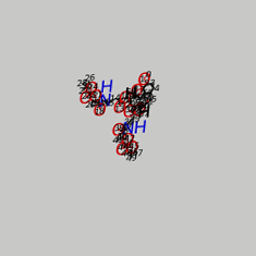 COc1ccc2c3c1O[C@H]1C(OC(=O)CCNC(=O)[C@H](C)OC(=O)OC(C)(C)C)=CC[C@@]4(OC(=O)CCNC(=O)[C@H](C)OC(=O)OC(C)(C)C)[C@H](CCC[C@]314)C2